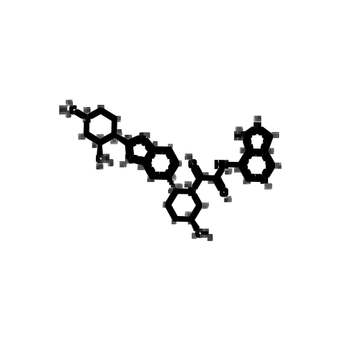 C[C@H]1CC[C@H](c2ccc3sc([C@@H]4CCN(C)C[C@@H]4C)nc3c2)N(C(=O)C(=O)Nc2cncc3cn[nH]c23)C1